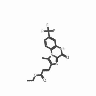 CCOC(=O)C=Cc1nc2c(=O)[nH]c3cc(C(F)(F)F)ccc3n2c1C